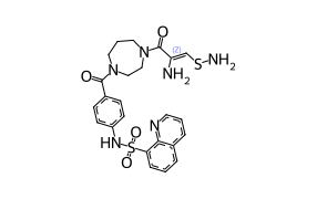 NS/C=C(\N)C(=O)N1CCCN(C(=O)c2ccc(NS(=O)(=O)c3cccc4cccnc34)cc2)CC1